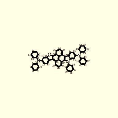 c1ccc(N(c2ccccc2)c2ccc3c(c2)oc2c4cccc5c4c4c(cccc4c4c5c5ccc(N(c6ccccc6)c6ccccc6)cc5n4-c4ccccc4)c32)cc1